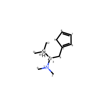 C[N](C)[Zr]([CH2]C1=CC=CC1)[SiH](C)C